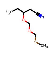 CCC(CC#N)OCOCSC